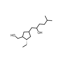 CC[C@H]1CC(CC(O)CCC(C)C)CC1CO